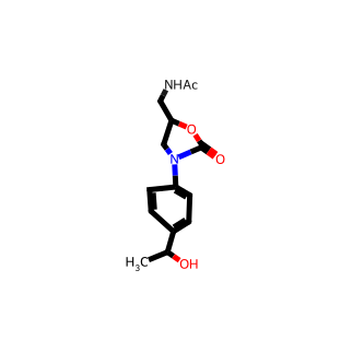 CC(=O)NCC1CN(c2ccc(C(C)O)cc2)C(=O)O1